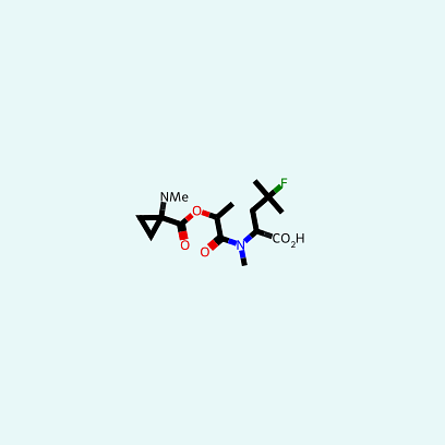 CNC1(C(=O)OC(C)C(=O)N(C)C(CC(C)(C)F)C(=O)O)CC1